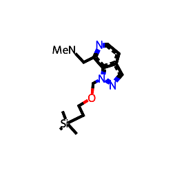 CNCc1nccc2cnn(COCC[Si](C)(C)C)c12